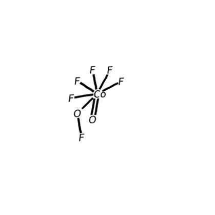 [O]=[Co]([F])([F])([F])([F])([F])[O]F